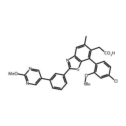 COc1ncc(-c2cccc(-c3nc4cc(C)c(CC(=O)O)c(-c5ccc(Cl)cc5OC(C)(C)C)c4s3)c2)cn1